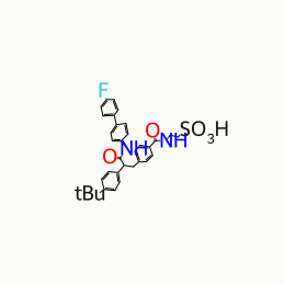 CC(C)(C)c1ccc(C(Cc2ccc(C(=O)NCCS(=O)(=O)O)cc2)C(=O)Nc2ccc(-c3ccc(F)cc3)cc2)cc1